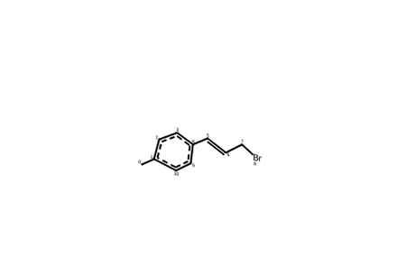 Cc1ccc(/C=C/CBr)cc1